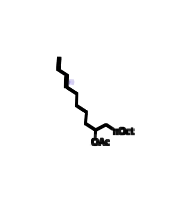 C=C/C=C/CCCCC(CCCCCCCCC)OC(C)=O